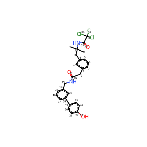 CC(C)(Cc1cccc(CC(=O)NCc2cccc(-c3ccc(O)cc3)c2)c1)NC(=O)C(Cl)(Cl)Cl